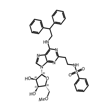 COC[C@H]1O[C@@H](n2cnc3c(NCC(c4ccccc4)c4ccccc4)nc(CCNS(=O)(=O)c4ccccc4)nc32)[C@H](O)[C@@H]1O